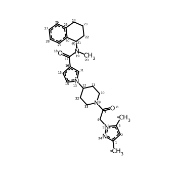 Cc1cc(C)n(CC(=O)N2CCC(n3ccc(C(=O)N(C)[C@@H]4CCCc5ccccc54)c3)CC2)n1